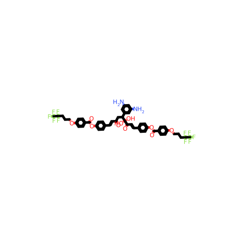 Nc1cc(N)cc(C(CC(=O)C=Cc2ccc(OC(=O)c3ccc(OCCCC(F)(F)C(F)(F)F)cc3)cc2)C(O)(O)C(=O)C=Cc2ccc(OC(=O)c3ccc(OCCCC(F)(F)C(F)(F)F)cc3)cc2)c1